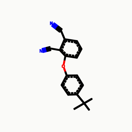 CC(C)(C)c1ccc(Oc2cccc(C#N)c2C#N)cc1